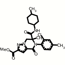 COC(=O)c1cc2n(n1)CC(C)(C(=O)NC1CCC(C)CC1)N(c1ccc(C)cc1Cl)C2=O